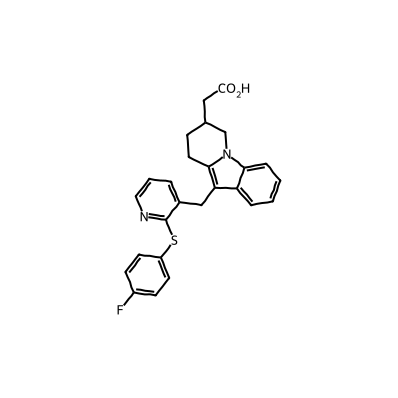 O=C(O)CC1CCc2c(Cc3cccnc3Sc3ccc(F)cc3)c3ccccc3n2C1